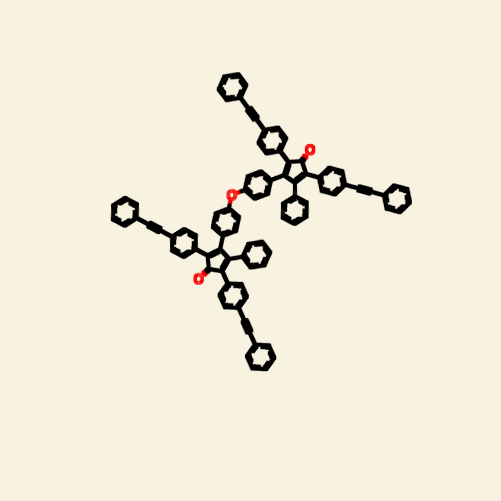 O=C1C(c2ccc(C#Cc3ccccc3)cc2)=C(c2ccccc2)C(c2ccc(Oc3ccc(C4=C(c5ccc(C#Cc6ccccc6)cc5)C(=O)C(c5ccc(C#Cc6ccccc6)cc5)=C4c4ccccc4)cc3)cc2)=C1c1ccc(C#Cc2ccccc2)cc1